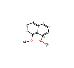 N#COc1cccc2cccc(OC#N)c12